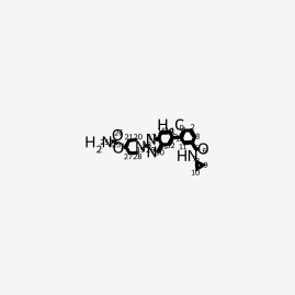 Cc1ccc(C(=O)NC2CC2)cc1-c1ccc2nc(N3CCC(OC(N)=O)CC3)ncc2c1